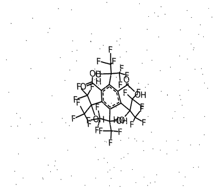 O=C(O)c1c(C(O)(C(F)(F)F)C(F)(F)F)c(C(=O)O)c(C(O)(C(F)(F)F)C(F)(F)F)c(C(O)(C(F)(F)F)C(F)(F)F)c1C(O)(C(F)(F)F)C(F)(F)F